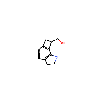 OCC1Cc2ccc3c(c21)NCC3